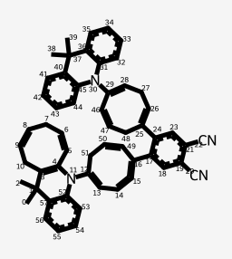 CC1(C)C2=C(/C=C\C/C=C\C2)N(/C2=C/C=C=C(c3cc(C#N)c(C#N)cc3/C3=C/C/C=C(N4c5ccccc5C(C)(C)c5ccccc54)\C=C/C3)/C=C\C2)c2ccccc21